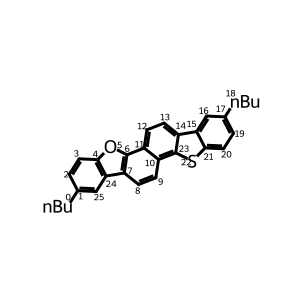 CCCCc1ccc2oc3c(ccc4c3ccc3c5cc(CCCC)ccc5sc34)c2c1